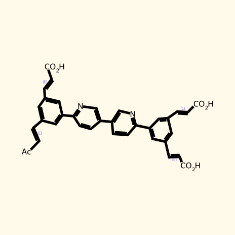 CC(=O)/C=C/c1cc(/C=C/C(=O)O)cc(-c2ccc(-c3ccc(-c4cc(/C=C/C(=O)O)cc(/C=C/C(=O)O)c4)nc3)cn2)c1